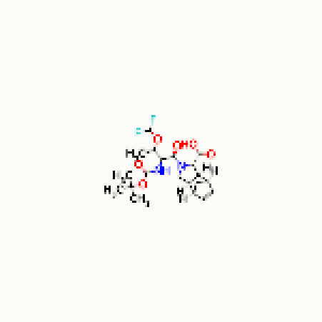 C[C@@H](OC(F)F)[C@H](NC(=O)OC(C)(C)C)C(=O)N1C[C@H]2[C@@H]([C@H]1C(=O)O)[C@H]1C=C[C@@H]2C1